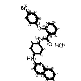 Cl.O=C(NC1CCC(Nc2ccc3ccccc3n2)CC1)c1cccnc1Oc1ccc(Br)cc1